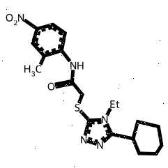 CCn1c(SCC(=O)Nc2ccc([N+](=O)[O-])cc2C)nnc1C1CCCCC1